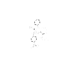 COC(=O)[C@H](C)NP(=O)(Oc1ccc([N+](=O)[O-])cc1)Oc1ccccc1Br